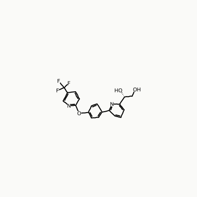 OC[C@@H](O)c1cccc(-c2ccc(Oc3ccc(C(F)(F)F)cn3)cc2)n1